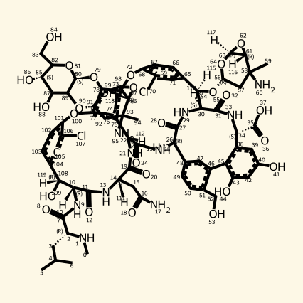 CN[C@H](CC(C)C)C(=O)N[C@H]1C(=O)N[C@@H](CC(N)=O)C(=O)N[C@H]2C(=O)N[C@H]3C(=O)N[C@H](C(=O)N[C@H](C(=O)O)c4cc(O)cc(O)c4-c4cc3ccc4CO)[C@H](O[C@H]3CC(C)(N)[C@H]4O[C@@H]4O3)c3ccc(c(Cl)c3)Oc3cc2cc(c3O[C@@H]2OC(CO)[C@@H](O)C(O)C2O[C@H]2CC(C)(N)[C@H]3OC3O2)Oc2ccc(cc2Cl)[C@H]1O